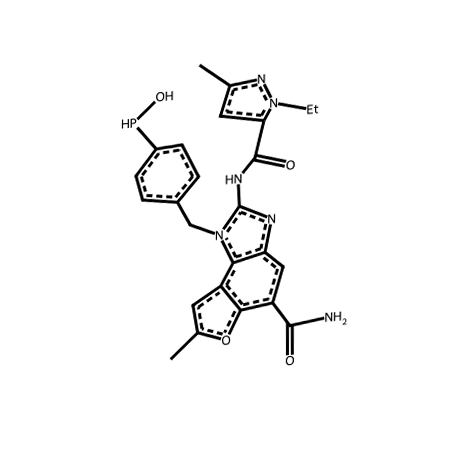 CCn1nc(C)cc1C(=O)Nc1nc2cc(C(N)=O)c3oc(C)cc3c2n1Cc1ccc(PO)cc1